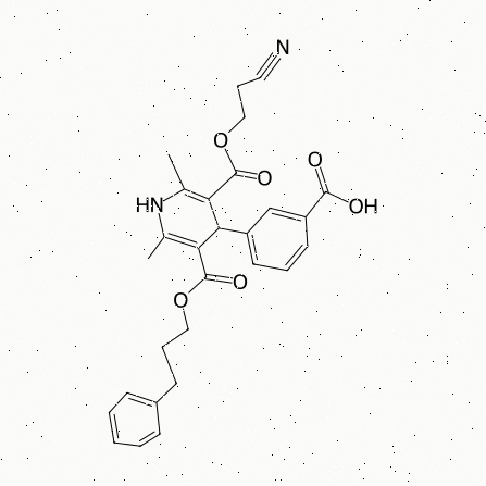 CC1=C(C(=O)OCCC#N)C(c2cccc(C(=O)O)c2)C(C(=O)OCCCc2ccccc2)=C(C)N1